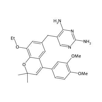 CCOc1cc(Cc2cnc(N)nc2N)cc2c1OC(C)(C)C=C2c1ccc(OC)c(OC)c1